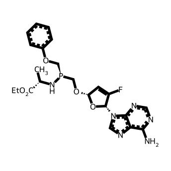 CCOC(=O)[C@H](C)N[P@@](COc1ccccc1)CO[C@@H]1C=C(F)[C@H](n2cnc3c(N)ncnc32)O1